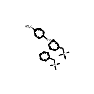 C[N+](C)(C)Cc1ccccc1.C[N+](C)(C)Cc1ccccc1.O=C(O)c1ccc(C(=O)O)cc1